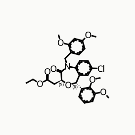 CCOC(=O)C[C@@H]1O[C@@H](c2cccc(OC)c2OC)c2cc(Cl)ccc2N(Cc2ccc(OC)cc2OC)C1=O